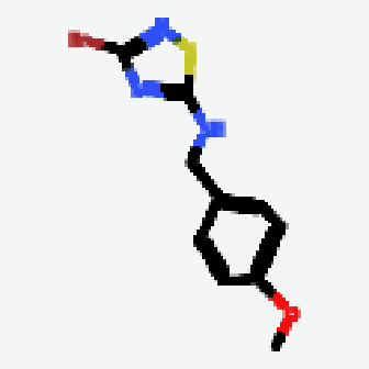 COc1ccc(CNc2nc(Br)ns2)cc1